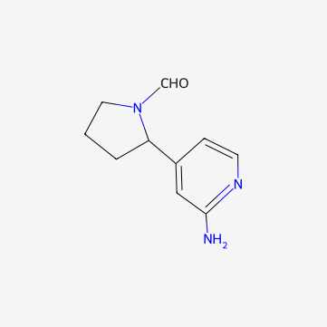 Nc1cc(C2CCCN2C=O)ccn1